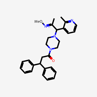 CO/N=C(\C)C(c1cccnc1C)N1CCN(C(=O)CC(c2ccccc2)c2ccccc2)CC1